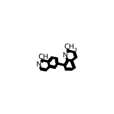 Cc1ccc2cccc(-c3ccc4c(C)nccc4c3)c2n1